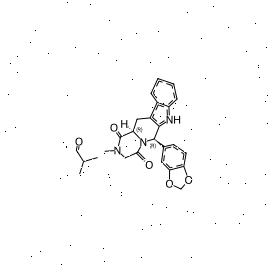 CC(C)C=O.CN1CC(=O)N2[C@H](c3ccc4c(c3)OCO4)c3[nH]c4ccccc4c3C[C@@H]2C1=O